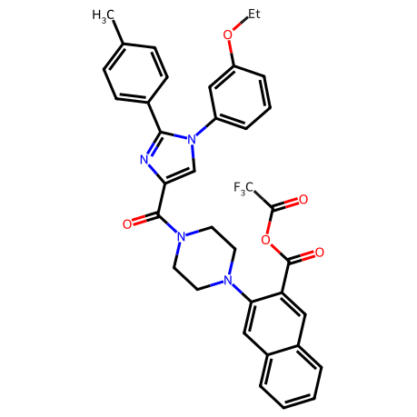 CCOc1cccc(-n2cc(C(=O)N3CCN(c4cc5ccccc5cc4C(=O)OC(=O)C(F)(F)F)CC3)nc2-c2ccc(C)cc2)c1